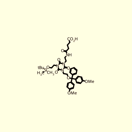 COc1ccc(C(OCCn2c(=O)n(CCNC(=O)CCCC(=O)O)c(=O)n(CCO[Si](C)(C)C(C)(C)C)c2=O)(c2ccccc2)c2ccc(OC)cc2)cc1